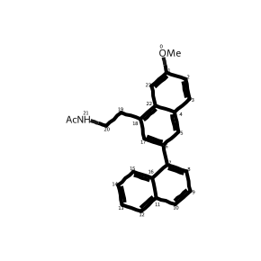 COc1ccc2cc(-c3cccc4ccccc34)cc(CCNC(C)=O)c2c1